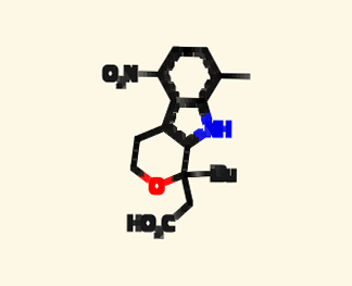 CCC(C)C1(CC(=O)O)OCCc2c1[nH]c1c(C)ccc([N+](=O)[O-])c21